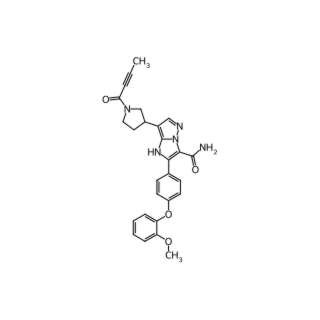 CC#CC(=O)N1CCC(c2cnn3c(C(N)=O)c(-c4ccc(Oc5ccccc5OC)cc4)[nH]c23)C1